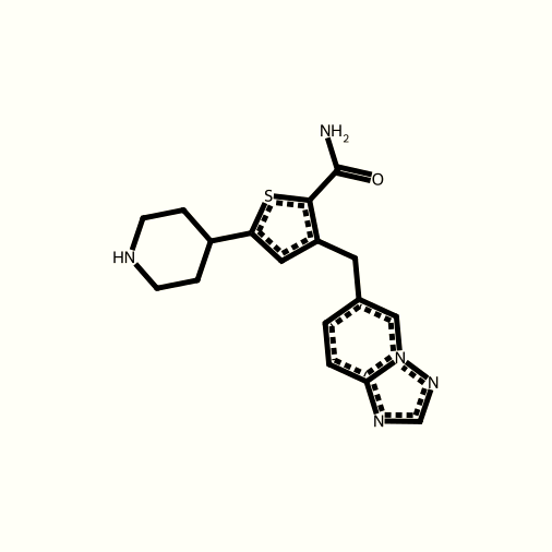 NC(=O)c1sc(C2CCNCC2)cc1Cc1ccc2ncnn2c1